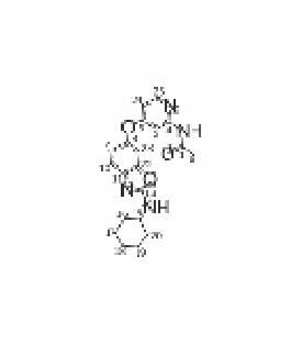 CC(=O)Nc1cc(Oc2ccc3nc(NC4CCCCC4)oc3c2)ccn1